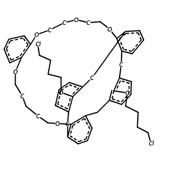 ClCCCCOc1c2cccc1Cc1cccc3c1OCCOCCOc1ccccc1OCCCCCOc1c(cccc1Cc1cccc(c1OCCCCCl)C3)C2